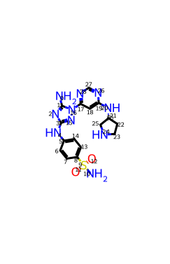 Nc1nc(Nc2ccc(S(N)(=O)=O)cc2)nn1-c1cc(N[C@@H]2CCNC2)ncn1